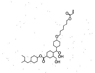 C=CC(=O)OCCCCCCOC1CCC(C(OO)C2CCC(C(=O)OC3CCC(CC(C)CC)CC3)CC2CO)CC1